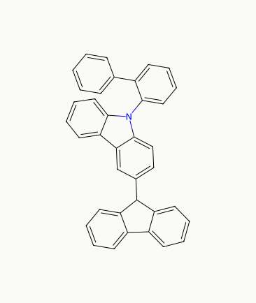 c1ccc(-c2ccccc2-n2c3ccccc3c3cc(C4c5ccccc5-c5ccccc54)ccc32)cc1